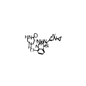 O=C1NCCNC[C@H]1Nc1nc2c(Cl)cccc2c2nc(-c3cnn(C4CC4)c3)nn12